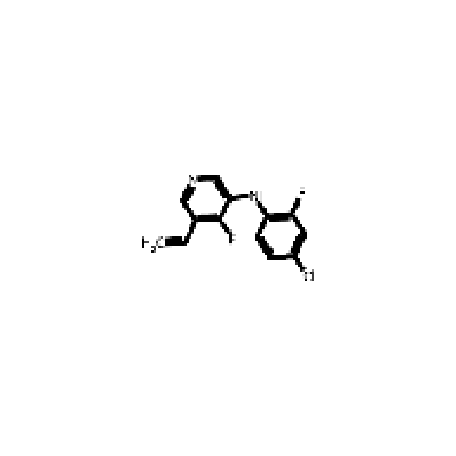 C=Cc1cncc(Nc2ccc(Cl)cc2F)c1F